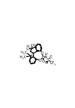 CC1(C)CC23CC(C)(C)c4cccc(c42)OP(=O)(NS(=O)(=O)C(F)(F)F)Oc2cccc1c23